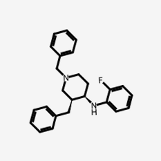 Fc1ccccc1N[C@@H]1CCN(Cc2ccccc2)C[C@@H]1Cc1ccccc1